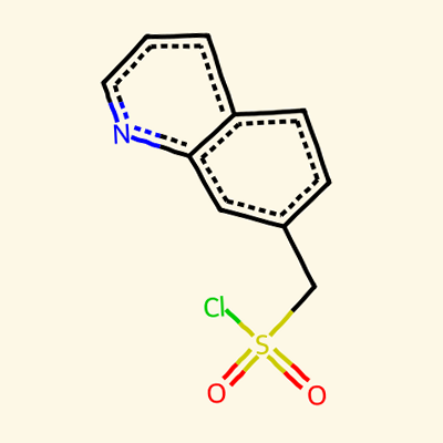 O=S(=O)(Cl)Cc1ccc2cccnc2c1